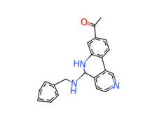 CC(=O)c1ccc2c(c1)NC(NCc1ccccc1)c1ccncc1-2